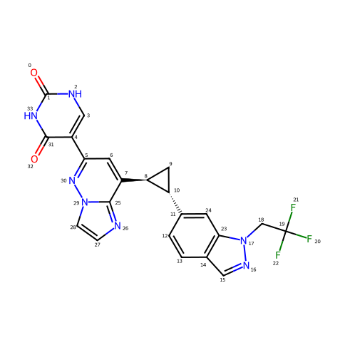 O=c1[nH]cc(-c2cc([C@H]3C[C@@H]3c3ccc4cnn(CC(F)(F)F)c4c3)c3nccn3n2)c(=O)[nH]1